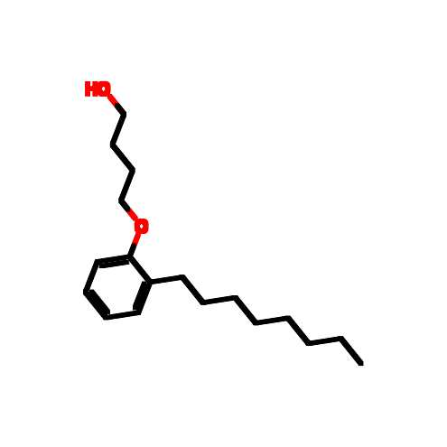 CCCCCCCCc1ccccc1OCCCCO